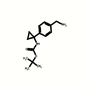 CC(C)(C)OC(=O)NC1(c2ccc(CN)cc2)CC1